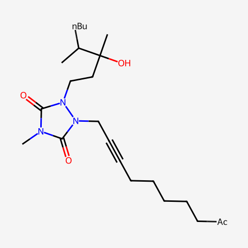 CCCCC(C)C(C)(O)CCn1c(=O)n(C)c(=O)n1CC#CCCCCCC(C)=O